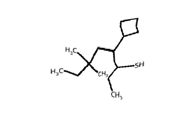 CCC(S)C(CC(C)(C)CC)C1CCC1